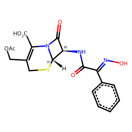 CC(=O)OCC1=C(C(=O)O)N2C(=O)[C@@H](NC(=O)C(=NO)c3ccccc3)[C@@H]2SC1